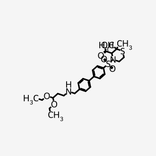 CCOC(CCNCc1ccc(-c2ccc(S(=O)(=O)N3CCSC(C)(C)C3C(=O)O)cc2)cc1)OCC